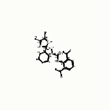 CC(C)c1cccc(C(C)C)c1NC(=O)NC[C@]1(C2CCCCC2)O[C@@H](C)[C@@H](C)O1